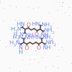 N=C(N)C(C(=N)N)C(=O)CCC(=O)C(C(=N)N)C(=N)N.N=C(N)C(C(=N)N)C(=O)CCCC(=O)C(C(=N)N)C(=N)N